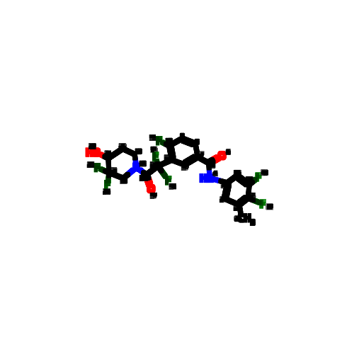 Cc1cc(NC(=O)c2ccc(F)c(C(F)(F)C(=O)N3CCC(O)C(F)(F)C3)c2)cc(F)c1F